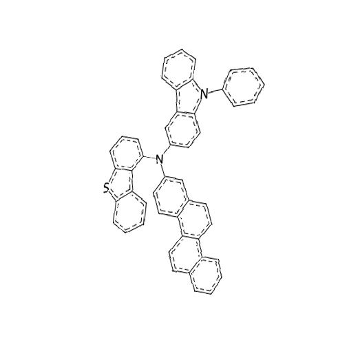 c1ccc(-n2c3ccccc3c3cc(N(c4ccc5c(ccc6c7ccccc7ccc56)c4)c4cccc5sc6ccccc6c45)ccc32)cc1